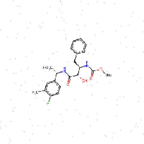 CC(C)(C)OC(=O)N[C@H](Cc1ccccc1)[C@H](O)C(=O)N[C@@H](C(=O)O)c1ccc(F)c(C(F)(F)F)c1